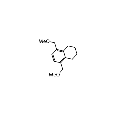 COCc1ccc(COC)c2c1CCCC2